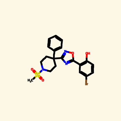 CS(=O)(=O)N1CCC(c2ccccc2)(c2noc(-c3cc(Br)ccc3O)n2)CC1